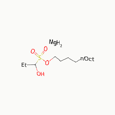 CCCCCCCCCCCCOS(=O)(=O)C(O)CC.[MgH2]